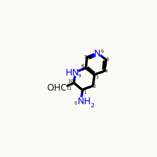 NC1Cc2ccncc2NC1C=O